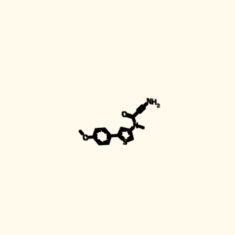 COc1ccc(-c2cc(N(C)C(=O)C#CN)cs2)cc1